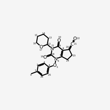 Cc1ccc(On2c3c(c(=O)n(C4CCCCO4)c2=O)C(=C=O)CC3)cc1